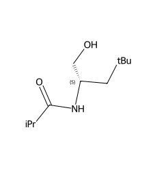 CC(C)C(=O)N[C@H](CO)CC(C)(C)C